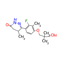 Cc1c(OCC(C)(C)CO)ccc(C2=NNC(=O)CC2C)c1F